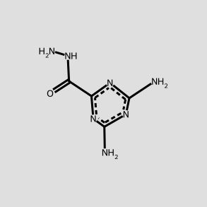 NNC(=O)c1nc(N)nc(N)n1